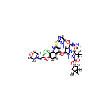 CC(C)(C)[C@H](NC(=O)O[C@@H]1C[C@@H]2C[C@@H]2C1)C(=O)N1C[C@H](Oc2cc(Sc3ncc[nH]3)nc3c(Cl)c(OCCN4CCOCC4)ccc23)C[C@H]1C(N)=O